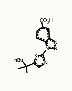 CCCCC(C)(C)c1cnc(-n2nnc3cc(C(=O)O)ccc32)s1